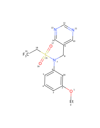 CCOc1cccc(N(Cc2cncnc2)S(=O)(=O)CC(F)(F)F)c1